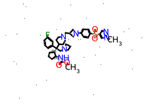 COC(=O)N[C@H]1CCC[C@@H]1C(CN1CCC1)(c1cccc(F)c1)C1CCN(CC2CN(c3ccc(S(=O)(=O)c4cnn(C)c4)cc3)C2)CC1